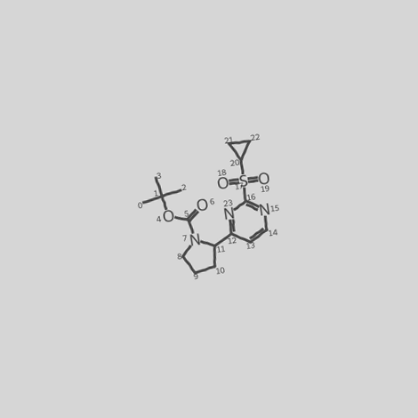 CC(C)(C)OC(=O)N1CCCC1c1ccnc(S(=O)(=O)C2CC2)n1